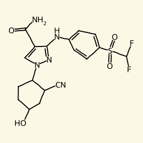 N#CC1CC(O)CCC1n1cc(C(N)=O)c(Nc2ccc(S(=O)(=O)C(F)F)cc2)n1